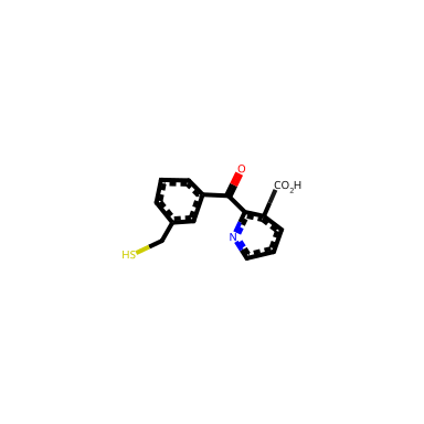 O=C(O)c1cccnc1C(=O)c1cccc(CS)c1